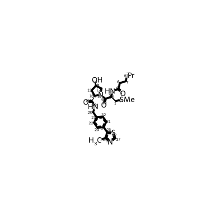 CSC[C@H](NC(=O)CCC(C)C)C(=O)N1C[C@H](O)C[C@H]1C(=O)NCc1ccc(-c2scnc2C)cc1